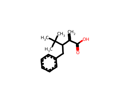 C=C(C(=O)O)C(Cc1ccccc1)C(C)(C)C